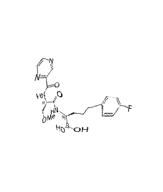 COC[C@@H](NC(=O)c1cnccn1)C(=O)N[C@@H](CCCc1ccc(F)cc1)B(O)O